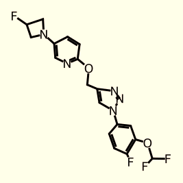 Fc1ccc(-n2cc(COc3ccc(N4CC(F)C4)cn3)nn2)cc1OC(F)F